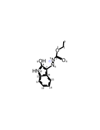 CCOC(=O)/N=N/c1c(O)[nH]c2ccccc12